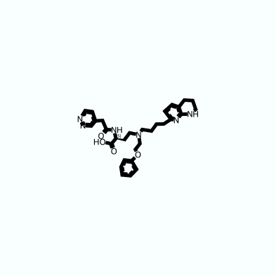 O=C(Cc1ccnnc1)N[C@@H](CCN(CCCCc1ccc2c(n1)NCCC2)CCOc1ccccc1)C(=O)O